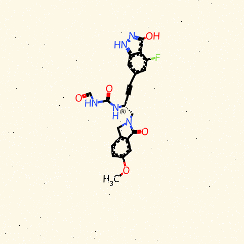 COc1ccc2c(c1)C(=O)N(C[C@@H](C#Cc1cc(F)c3c(O)n[nH]c3c1)NC(=O)NC=O)C2